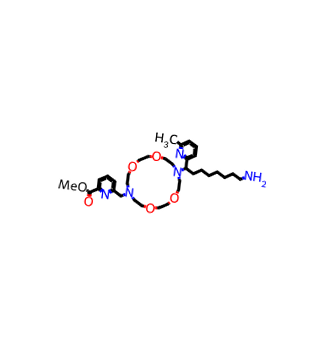 COC(=O)c1cccc(CN2CCOCCOCCN(C(CCCCCCCN)c3cccc(C)n3)CCOCCOCC2)n1